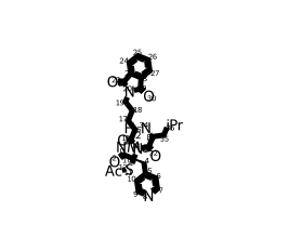 CNC(=O)[C@@](Cc1ccncc1)(SC(C)=O)N(C(=O)CCCCN1C(=O)c2ccccc2C1=O)C(=O)[C@@H](N)CC(C)C